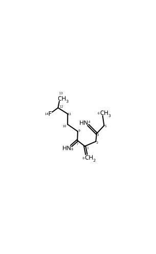 C=C(CC(=N)CC)C(=N)CCCC(C)F